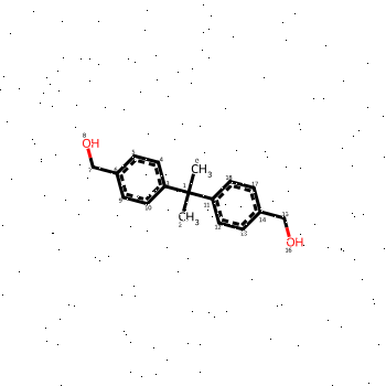 CC(C)(c1ccc(CO)cc1)c1ccc(CO)cc1